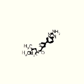 COC(C)CN(C)C(=O)c1cc(-c2ccc3nc(N)nn3c2)cs1